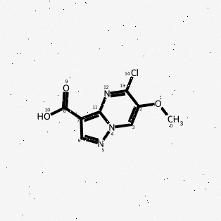 COc1cn2ncc(C(=O)O)c2nc1Cl